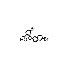 CC(O)c1ccc(Br)cc1Oc1ccc2cc(Br)ccc2c1